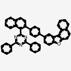 c1ccc(-c2nc(-c3ccccc3)nc(-c3c(-c4ccc(-c5ccc6oc7ccc8ccccc8c7c6c5)cc4)ccc4ccccc34)n2)cc1